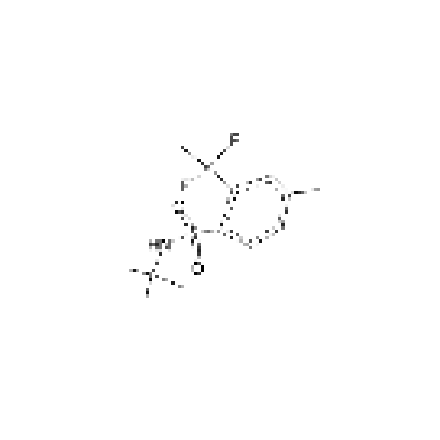 Cc1ccc(S(=O)(=O)NC(C)(C)C)c(C(C)(F)F)c1